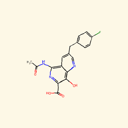 CC(=O)Nc1nc(C(=O)O)c(O)c2ncc(Cc3ccc(F)cc3)cc12